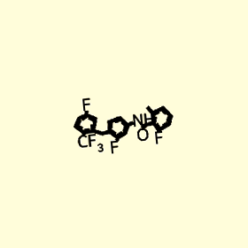 Cc1cccc(F)c1C(=O)Nc1ccc(Cc2cc(F)ccc2C(F)(F)F)c(F)c1